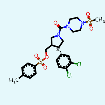 Cc1ccc(S(=O)(=O)OCC2CN(C(=O)N3CCN(S(C)(=O)=O)CC3)C[C@@H]2c2ccc(Cl)c(Cl)c2)cc1